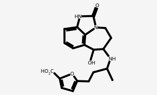 CC(CCc1ccc(C(=O)O)o1)NC1CCn2c(=O)[nH]c3cccc(c32)C1O